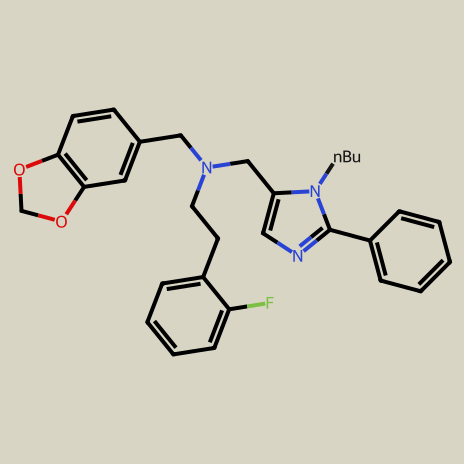 CCCCn1c(CN(CCc2ccccc2F)Cc2ccc3c(c2)OCO3)cnc1-c1ccccc1